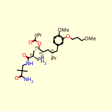 CCCC(=O)O[C@@H](C[C@H](C(=O)NCC(C)(C)C(N)=O)C(C)C)[C@@H](N)C[C@H](Cc1ccc(OC)c(OCCCOC)c1)C(C)C